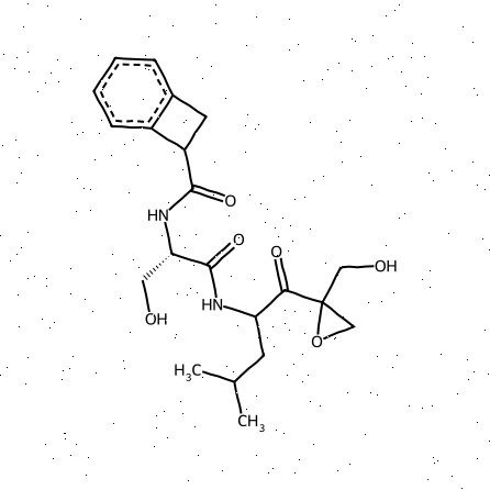 CC(C)CC(NC(=O)[C@H](CO)NC(=O)C1Cc2ccccc21)C(=O)C1(CO)CO1